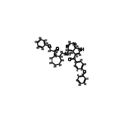 O=C(c1ccc(Oc2ccccc2)cc1)c1c[nH]c2ncnc(NCC3CCCCCN3C(=O)COc3ccccc3)c12